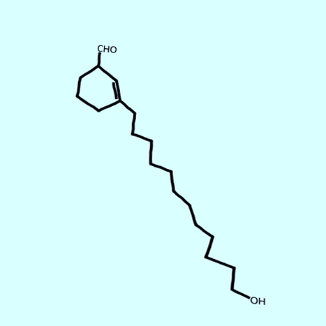 O=CC1C=C(CCCCCCCCCCCCO)CCC1